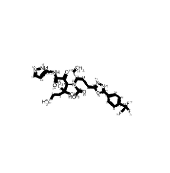 CCCC(C)(C)[C@@H](C(=O)C(=O)Nc1ccn[nH]1)N(C(=O)O)[C@H](CC)CCc1nnc(-c2ccc(C(F)(F)F)cc2)o1